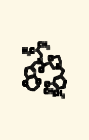 COc1cc(CN2CCO[C@H](C(=O)N(Cc3ccc4c(c3)OCCCO4)CC(C)C)C2)ccc1C